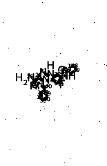 CC(Nc1nc(Nc2ccc(F)c(NC(=O)N3CCCC3)c2)ncc1C(N)=O)c1ccccc1